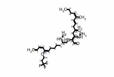 C=C/C=C\C(=C/CCCC[C@@H](CN/C(C=O)=C(\CC(=C)CC=C/C(C)=C\CCC)NC)NC)OCCC(F)(F)F